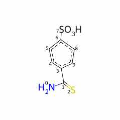 NC(=S)c1ccc(S(=O)(=O)O)cc1